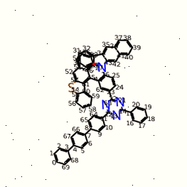 c1ccc(-c2ccc(-c3ccc(-c4nc(-c5ccccc5)nc(-c5ccc(-n6c7ccccc7c7cc8ccccc8cc76)c(-c6c7ccccc7cc7sc8ccccc8c67)c5)n4)cc3)cc2)cc1